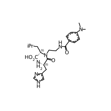 CC(C)C[C@@H](C(=O)O)N(CCNC(=O)c1ccc(N(C)C)cc1)C(=O)[C@@H](N)Cc1c[nH]cn1